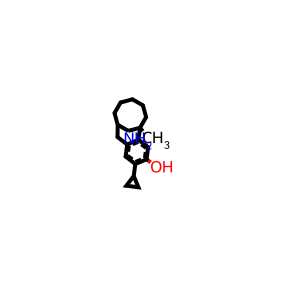 CC12CCCCCC(Cc3cc(C4CC4)c(O)cc31)C2N